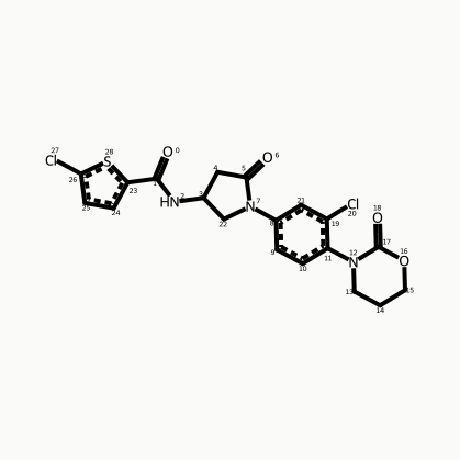 O=C(NC1CC(=O)N(c2ccc(N3CCCOC3=O)c(Cl)c2)C1)c1ccc(Cl)s1